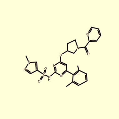 Cc1cccc(C)c1-c1cc(OC2CCN(C(=O)c3ccccn3)C2)nc(NS(=O)(=O)c2cnn(C)c2)n1